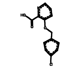 O=C(O)c1ncccc1OCc1ccc(Cl)cc1